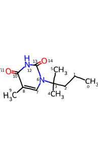 CCCC(C)(C)n1cc(C)c(=O)[nH]c1=O